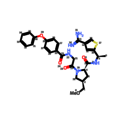 COC[C@@H]1C[C@@H](C(=O)N[C@H](C)c2cc(C(=N)N)cs2)N(C(=O)CNC(=O)c2ccc(Oc3ccccc3)cc2)C1